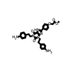 COC(=O)COc1ccc(-c2nc3c([nH]2)c(=O)n(CCc2ccc(N)cc2)c(=O)n3CCc2ccc(N)cc2)cc1